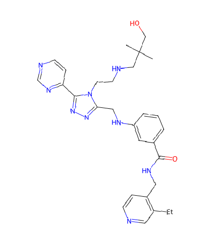 CCc1cnccc1CNC(=O)c1cccc(NCc2nnc(-c3ccncn3)n2CCNCC(C)(C)CO)c1